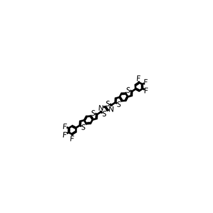 Fc1cc(-c2cc3cc4sc(-c5nc6sc(-c7cc8cc9sc(-c%10cc(F)c(F)c(F)c%10)cc9cc8s7)nc6s5)cc4cc3s2)cc(F)c1F